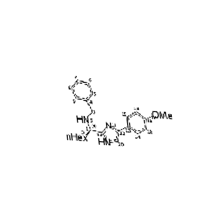 CCCCCC[C@@H](NCc1ccccc1)c1nc(-c2ccc(OC)cc2)c[nH]1